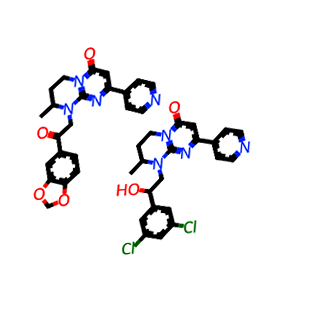 CC1CCn2c(nc(-c3ccncc3)cc2=O)N1CC(=O)c1ccc2c(c1)OCO2.CC1CCn2c(nc(-c3ccncc3)cc2=O)N1CC(O)c1cc(Cl)cc(Cl)c1